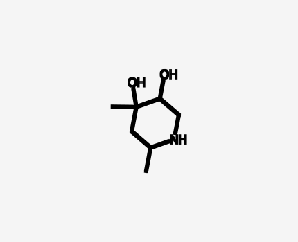 CC1CC(C)(O)C(O)CN1